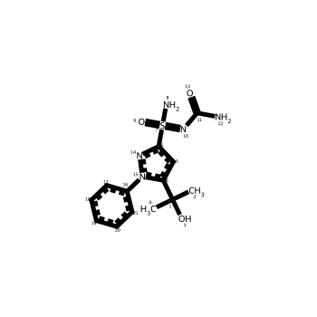 CC(C)(O)c1cc(S(N)(=O)=NC(N)=O)nn1-c1ccccc1